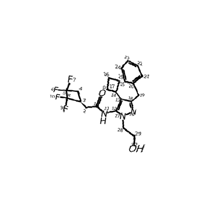 O=C(C[C@@H]1CC(F)(F)C1(F)F)Nc1c(C2CCC2)c(Cc2ccccc2)nn1CCO